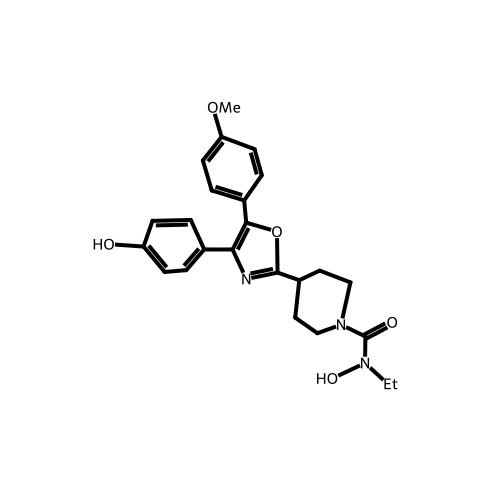 CCN(O)C(=O)N1CCC(c2nc(-c3ccc(O)cc3)c(-c3ccc(OC)cc3)o2)CC1